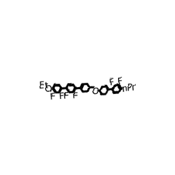 CCCc1ccc(C2CCC(OCC3CC=C(c4ccc(-c5ccc(OCC)c(F)c5F)c(F)c4F)CC3)CC2)c(F)c1F